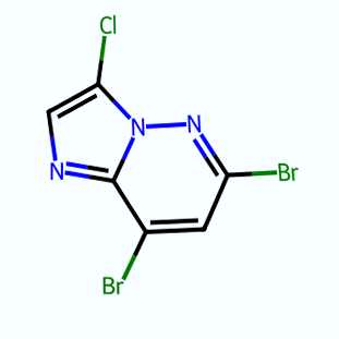 Clc1cnc2c(Br)cc(Br)nn12